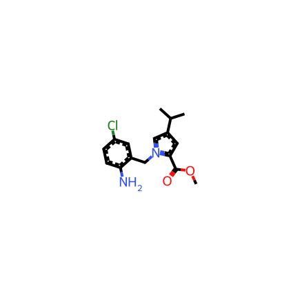 COC(=O)c1cc(C(C)C)cn1Cc1cc(Cl)ccc1N